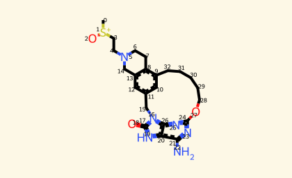 C[S+]([O-])CCN1CCc2c3cc(cc2C1)Cn1c(=O)[nH]c2c(N)nc(nc21)OCCCCC3